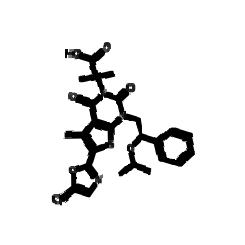 Cc1c(-c2ncc(Cl)o2)sc2c1c(=O)n(C(C)(C)C(=O)O)c(=O)n2C[C@H](OC(C)C)c1ccccc1